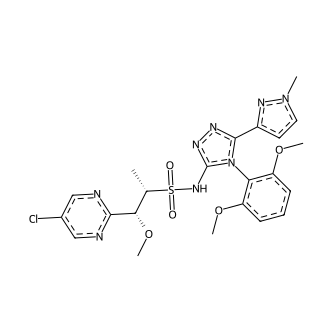 COc1cccc(OC)c1-n1c(NS(=O)(=O)[C@@H](C)[C@H](OC)c2ncc(Cl)cn2)nnc1-c1ccn(C)n1